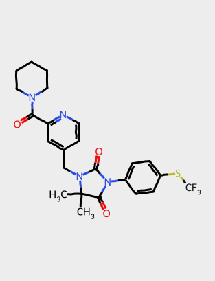 CC1(C)C(=O)N(c2ccc(SC(F)(F)F)cc2)C(=O)N1Cc1ccnc(C(=O)N2CCCCC2)c1